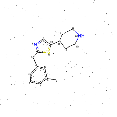 Cc1cccc(Cc2ncc(C3CCNCC3)s2)c1